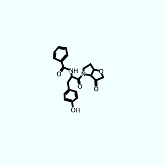 O=C(NC(Cc1ccc(O)cc1)C(=O)N1CCC2OCC(=O)C21)c1ccccc1